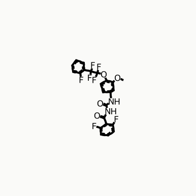 COc1cc(NC(=O)NC(=O)c2c(F)cccc2F)ccc1OC(F)(F)C(F)(F)c1ccccc1F